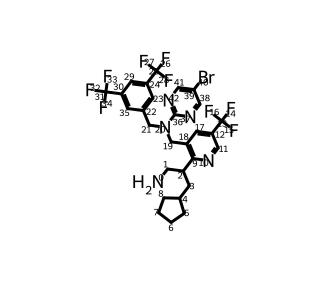 NCC(CC1CCCC1)c1ncc(C(F)(F)F)cc1CN(Cc1cc(C(F)(F)F)cc(C(F)(F)F)c1)c1ncc(Br)cn1